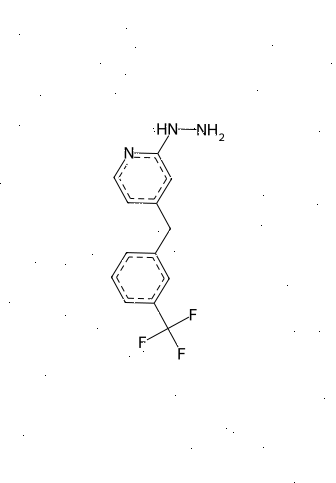 NNc1cc(Cc2cccc(C(F)(F)F)c2)ccn1